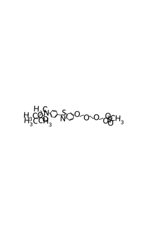 CN(C(=O)OC(C)(C)C)c1ccc(-c2nc3ccc(OCCOCCOCCOS(C)(=O)=O)cc3s2)cc1